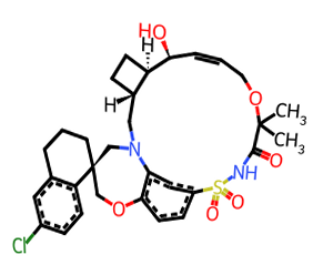 CC1(C)OCC=C[C@H](O)[C@@H]2CC[C@H]2CN2C[C@@]3(CCCc4cc(Cl)ccc43)COc3ccc(cc32)S(=O)(=O)NC1=O